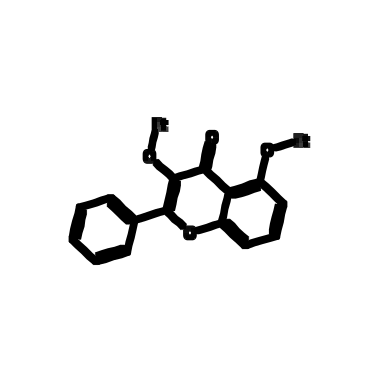 CCOc1c(-c2ccccc2)oc2cccc(OCC)c2c1=O